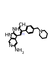 C=C/C(=C\c1c(N)[nH]c2cnc(N)cc12)c1ccc(CN2CCCCC2)cc1